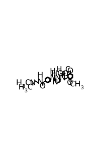 CCN(CC)CCNC(=O)c1ccc(Nc2nccc(N(Cc3cc(OC)ccc3OC)C(=O)O)n2)cc1